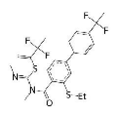 C=C(S/C(=N\C)N(C)C(=O)c1ccc(C2C=CC(C(C)(F)F)=CC2)cc1SCC)C(C)(F)F